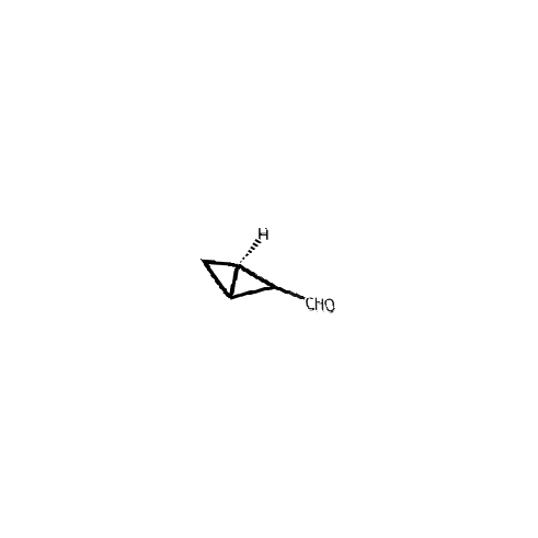 O=CC1C2C[C@@H]12